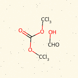 O=C(OC(Cl)(Cl)Cl)OC(Cl)(Cl)Cl.O=CO